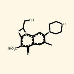 CCOC(=O)c1c2n(c3cc(N4CCNCC4)c(F)cc3c1=O)C(CO)S2